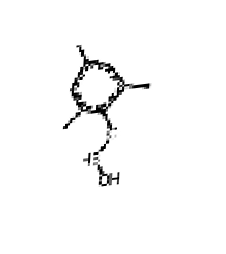 Cc1cc(C)c(OBO)c(C)c1